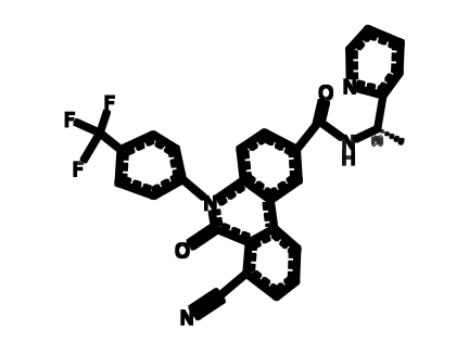 C[C@H](NC(=O)c1ccc2c(c1)c1cccc(C#N)c1c(=O)n2-c1ccc(C(F)(F)F)cc1)c1ccccn1